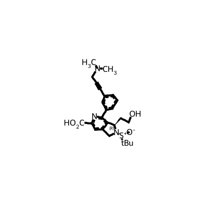 CN(C)CC#Cc1cccc(-c2nc(C(=O)O)cc3c2[C@@H](CCO)N([S+]([O-])C(C)(C)C)C3)c1